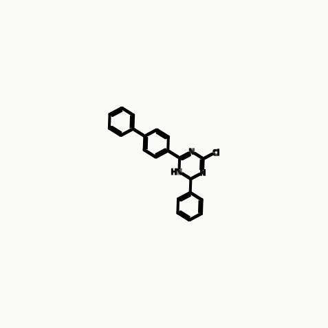 ClC1=NC(c2ccccc2)NC(c2ccc(-c3ccccc3)cc2)=N1